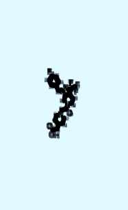 O=C(O)CC1CCN(CC(=O)N2CCc3c(C(F)(F)F)nn(Cc4ccc(F)cc4)c3C2)CC1